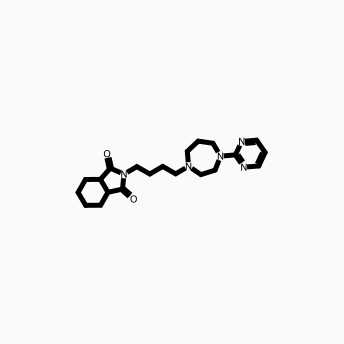 O=C1C2CCCCC2C(=O)N1CCCCN1CCCN(c2ncccn2)CC1